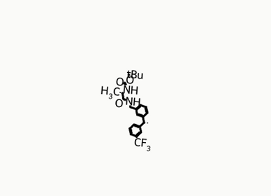 C[C@H](NC(=O)OC(C)(C)C)C(=O)NCc1cccc([CH]c2cccc(C(F)(F)F)c2)c1